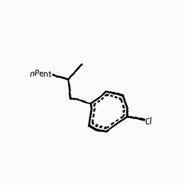 CCCCCC(C)Cc1ccc(Cl)cc1